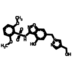 COc1cccc(OC)c1S(=O)(=O)Nc1noc2cc(Cn3cc(CO)cn3)cc(O)c12